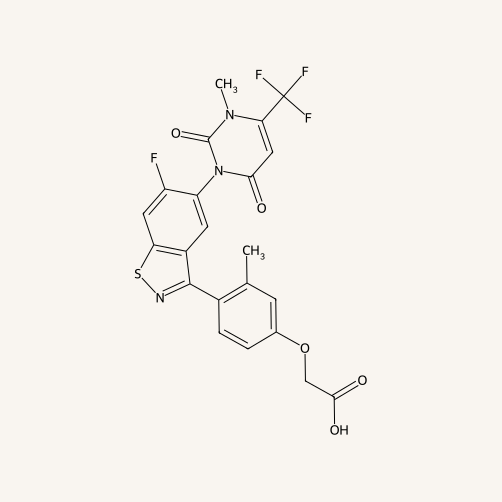 Cc1cc(OCC(=O)O)ccc1-c1nsc2cc(F)c(-n3c(=O)cc(C(F)(F)F)n(C)c3=O)cc12